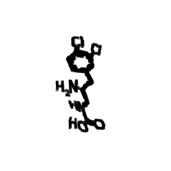 N[C@@H](CNC(=O)O)Cc1ccc(Cl)c(Cl)c1